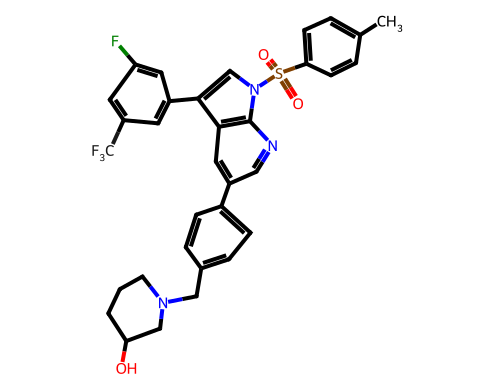 Cc1ccc(S(=O)(=O)n2cc(-c3cc(F)cc(C(F)(F)F)c3)c3cc(-c4ccc(CN5CCCC(O)C5)cc4)cnc32)cc1